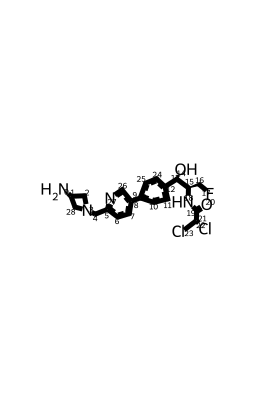 NC1CN(Cc2ccc(-c3ccc([C@@H](O)[C@@H](CF)NC(=O)C(Cl)Cl)cc3)cn2)C1